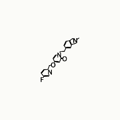 CN1Cc2ccc(CCn3ccc(OCc4ccc(F)cn4)cc3=O)cc2C1